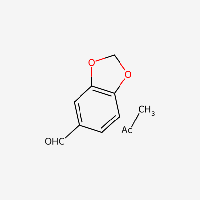 CC(C)=O.O=Cc1ccc2c(c1)OCO2